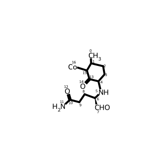 CC1CCC(N[C@@H](C=O)CCC(N)=O)C(=O)[CH]1[Co]